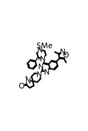 CSN1CCN(c2nc(N3CCC4(CCC(=O)N4C)CC3)nc3ccc(-c4c(C)noc4C)cc23)[C@@H](c2ccccc2)C1